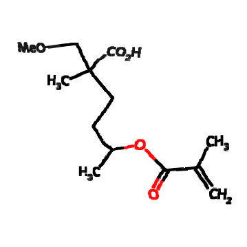 C=C(C)C(=O)OC(C)CCC(C)(COC)C(=O)O